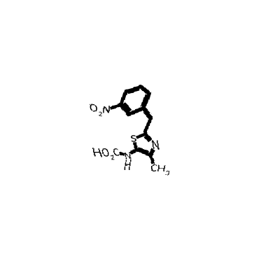 Cc1nc(Cc2cccc([N+](=O)[O-])c2)sc1NC(=O)O